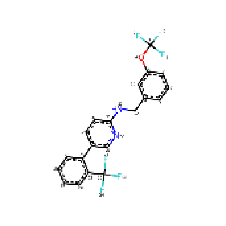 FC(F)(F)Oc1cccc(CNc2ccc(-c3ccccc3C(F)(F)F)cn2)c1